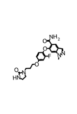 Cn1ncc2cc(C(N)=O)c(Oc3ccc(OCCCN4CCNC4=O)cc3F)cc21